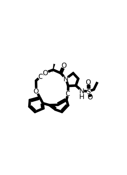 CCS(=O)(=O)NC1CCN2C(=O)[C@H](C)OCCOc3ccccc3-c3cccc(c3)CC12